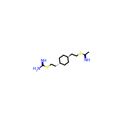 CC(=N)SCC[C@H]1CC[C@H](CCSC(=N)N)CC1